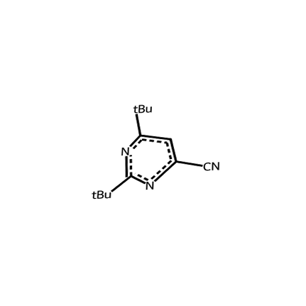 CC(C)(C)c1cc(C#N)nc(C(C)(C)C)n1